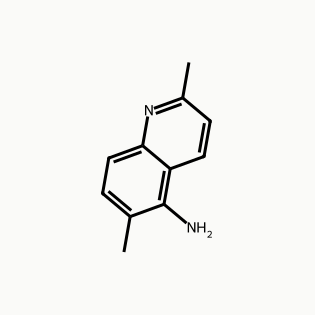 Cc1ccc2c(N)c(C)ccc2n1